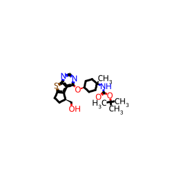 CC(C)(C)OC(=O)N[C@]1(C)CC[C@@H](Oc2ncnc3sc4c(c23)[C@@H](CO)CC4)CC1